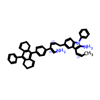 C/C=C\c1c(N)n(-c2ccccc2)c2ccc(C/C=C\C(=C/N)c3ccc(-c4c5c(c(-c6ccccc6)c6c4CCC=C6)CCC=C5)cc3)cc12